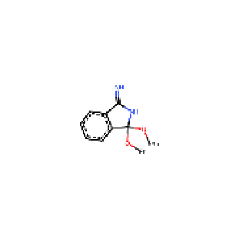 CCCCOC1(OCC)NC(=N)c2ccccc21